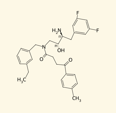 CCc1cccc(CN(C[C@@H](O)[C@@H](N)Cc2cc(F)cc(F)c2)C(=O)CCC(=O)c2ccc(C)cc2)c1